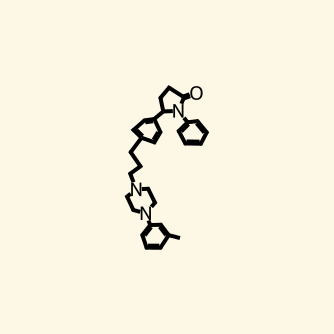 Cc1cccc(N2CCN(CCCc3ccc(C4CCC(=O)N4c4ccccc4)cc3)CC2)c1